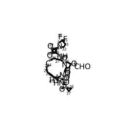 O=CO[C@@H]1C[C@H]2C(=O)N[C@]3(C(=O)NS(=O)(=O)C4CC4)C[C@H]3/C=C\CCCCC[C@H](Nc3c(N4CCC(F)(F)C4)c(=O)c3=O)C(=O)N2C1